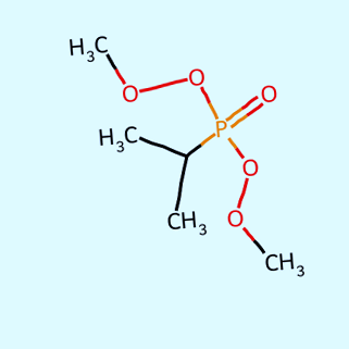 COOP(=O)(OOC)C(C)C